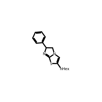 CCCCCCC1=CN2CC(c3ccccc3)N=C2S1